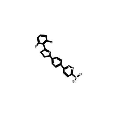 CCN(CC)c1ccc(-c2ccc(C3CCC(c4c(F)cccc4F)=N3)cc2)nn1